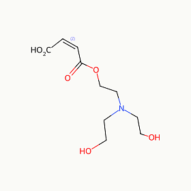 O=C(O)/C=C\C(=O)OCCN(CCO)CCO